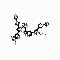 CC(Cc1c[nH]c2ncc(-c3cc(C4CCN(C5COC5)C4)n(C)n3)cc12)n1nc(-c2cnc3[nH]cnc3c2)cc1C1CN(C2COC2)C1